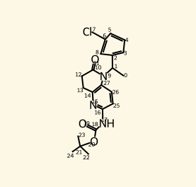 CC(c1cccc(Cl)c1)N1C(=O)CCc2nc(NC(=O)OC(C)(C)C)ccc21